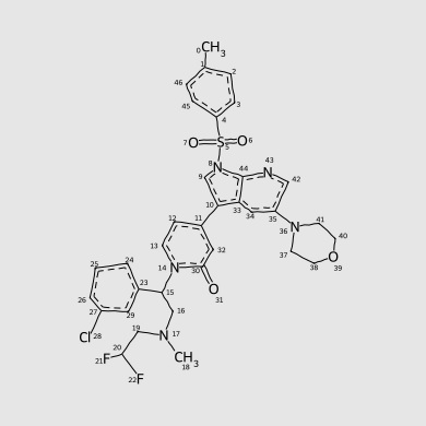 Cc1ccc(S(=O)(=O)n2cc(-c3ccn(C(CN(C)CC(F)F)c4cccc(Cl)c4)c(=O)c3)c3cc(N4CCOCC4)cnc32)cc1